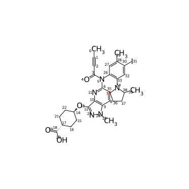 CC#CC(=O)N(c1ccc2c(n1)c(O[C@H]1CC[C@H](C(=O)O)CC1)nn2C)c1cc(C)c(I)cc1N1CCCC1C